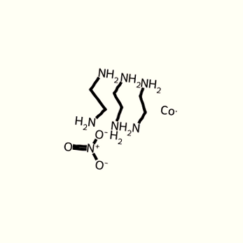 NCCN.NCCN.NCCN.O=[N+]([O-])[O-].[Co]